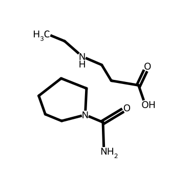 CCNCCC(=O)O.NC(=O)N1CCCCC1